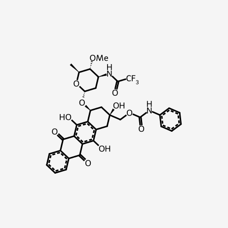 CO[C@@H]1[C@@H](NC(=O)C(F)(F)F)C[C@H](O[C@H]2C[C@](O)(COC(=O)Nc3ccccc3)Cc3c(O)c4c(c(O)c32)C(=O)c2ccccc2C4=O)O[C@H]1C